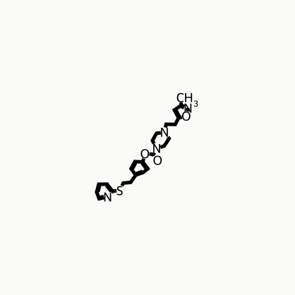 Cc1cc(CCN2CCN(C(=O)Oc3ccc(CCSc4ccccn4)cc3)CC2)on1